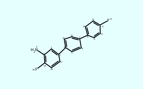 Nc1cc(-c2ccc(-c3ccc(F)cc3)cc2)ccc1F